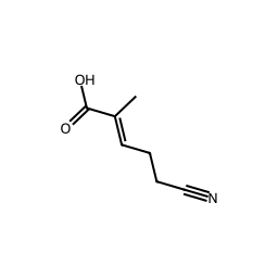 C/C(=C\CCC#N)C(=O)O